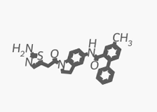 Cc1ccc(-c2ccccc2)c(C(=O)Nc2ccc3c(c2)CCN3C(=O)Cc2cnc(N)s2)c1